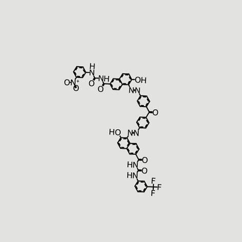 O=C(NC(=O)c1ccc2c(N=Nc3ccc(C(=O)c4ccc(N=Nc5c(O)ccc6cc(C(=O)NC(=O)Nc7cccc(C(F)(F)F)c7)ccc56)cc4)cc3)c(O)ccc2c1)Nc1cccc([N+](=O)[O-])c1